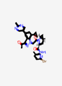 CC(=O)c1nn(CC(=O)N2[C@H](C(=O)Nc3nc(Br)ccc3C)C[C@@]3(C)C[C@@H]23)c2c(C3CC3)cc(-c3cnc(C)nc3)cc12